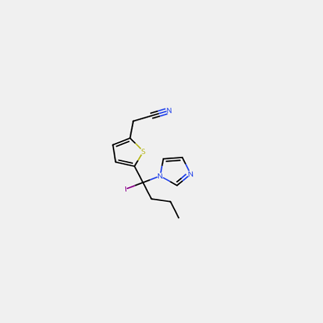 CCCC(I)(c1ccc(CC#N)s1)n1ccnc1